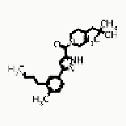 C=CCCc1cc(-c2cc(C(=O)N3CCC(CC(C)(C)O)CC3)[nH]n2)ccc1C